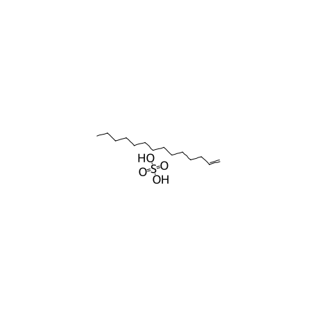 C=CCCCCCCCCCCCC.O=S(=O)(O)O